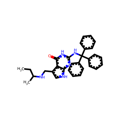 CCC(C)NCc1c[nH]c2nc(NC(c3ccccc3)(c3ccccc3)c3ccccc3)[nH]c(=O)c12